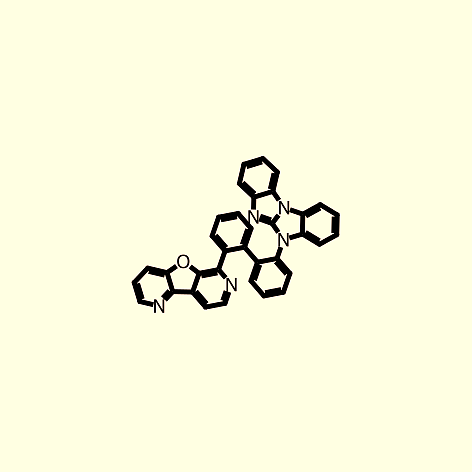 c1ccc(-c2nccc3c2oc2cccnc23)c(-c2ccccc2-n2c3ccccc3n3c4ccccc4nc23)c1